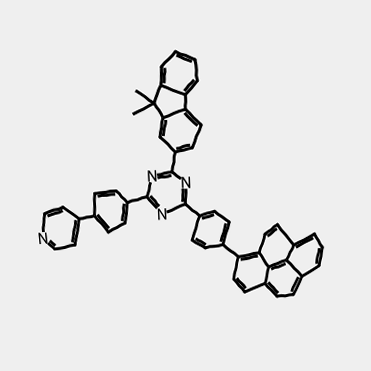 CC1(C)c2ccccc2-c2ccc(-c3nc(-c4ccc(-c5ccncc5)cc4)nc(-c4ccc(-c5ccc6ccc7cccc8ccc5c6c78)cc4)n3)cc21